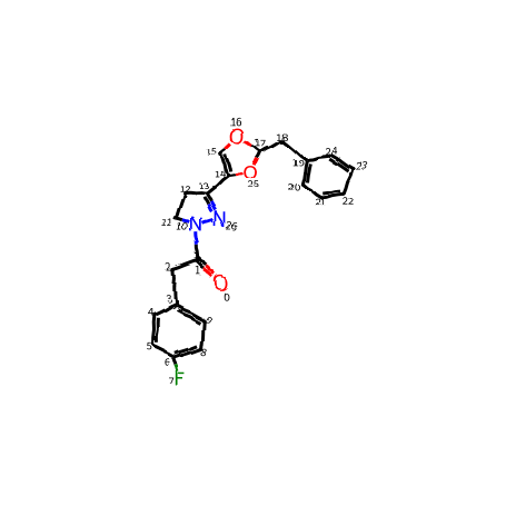 O=C(Cc1ccc(F)cc1)N1CCC(C2=COC(Cc3ccccc3)O2)=N1